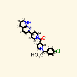 O=C(O)C(c1ccc(Cl)cc1)N1CC[C@@H](C(=O)N2CCC(c3ccc4c(n3)NCCC4)CC2)C1